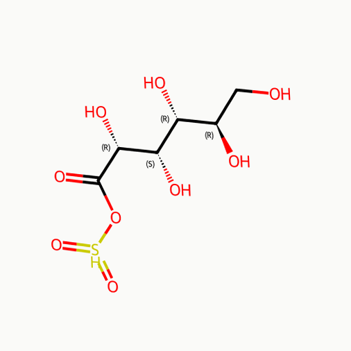 O=C(O[SH](=O)=O)[C@H](O)[C@@H](O)[C@H](O)[C@H](O)CO